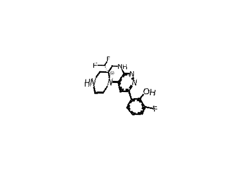 Oc1c(F)cccc1-c1cc2c(nn1)NC[C@]1(C(F)F)CNCCN21